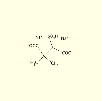 CC(C)(C(=O)[O-])C(C(=O)[O-])S(=O)(=O)O.[Na+].[Na+]